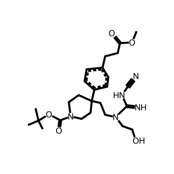 COC(=O)CCc1ccc(C2(CCN(CCO)C(=N)NC#N)CCN(C(=O)OC(C)(C)C)CC2)cc1